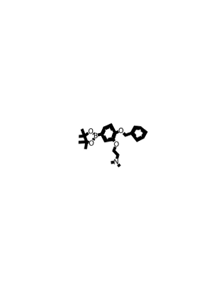 CN(C)CCOc1cc(B2OC(C)(C)C(C)(C)O2)ccc1OCc1ccccc1